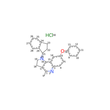 Cc1nc2ccc(Oc3ccccc3)cc2c2c1CCN2C1CCc2ccccc21.Cl